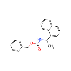 CC(NC(=O)OCc1ccccc1)c1cccc2ccccc12